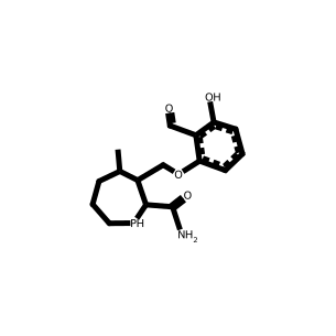 CC1CCCPC(C(N)=O)C1COc1cccc(O)c1C=O